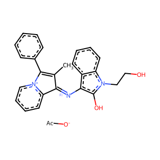 CC(=O)[O-].CC1=C(c2ccccc2)[n+]2ccccc2/C1=N/c1c(O)n(CCO)c2ccccc12